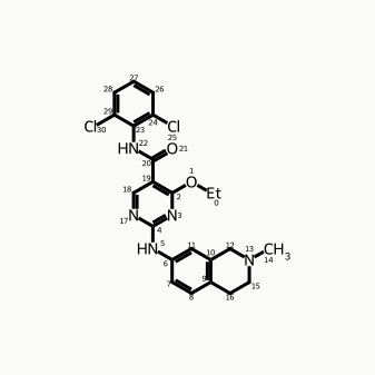 CCOc1nc(Nc2ccc3c(c2)CN(C)CC3)ncc1C(=O)Nc1c(Cl)cccc1Cl